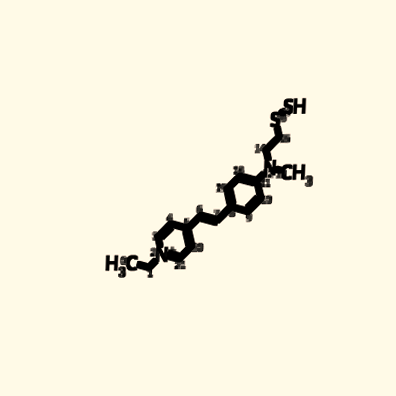 CC[n+]1ccc(/C=C/c2ccc(N(C)CCSS)cc2)cc1